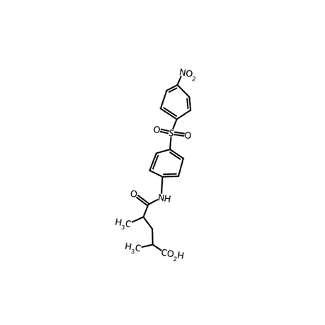 CC(CC(C)C(=O)Nc1ccc(S(=O)(=O)c2ccc([N+](=O)[O-])cc2)cc1)C(=O)O